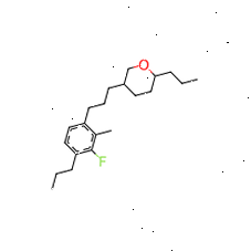 CCCc1ccc(CCCC2CCC(CCC)OC2)c(C)c1F